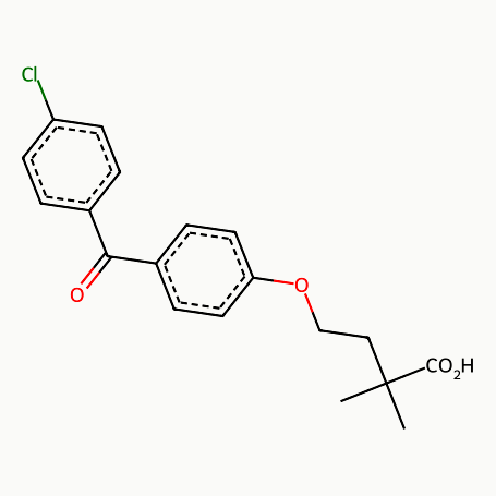 CC(C)(CCOc1ccc(C(=O)c2ccc(Cl)cc2)cc1)C(=O)O